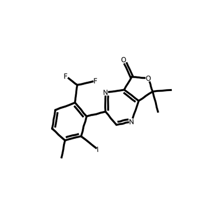 Cc1ccc(C(F)F)c(-c2cnc3c(n2)C(=O)OC3(C)C)c1I